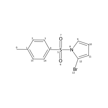 Cc1ccc(S(=O)(=O)n2cccc2Br)cc1